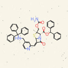 C[C@@]1(COC(N)=O)SC2/C(=C\c3cc(CNC(c4ccccc4)(c4ccccc4)c4ccccc4)ccn3)C(=O)N2[C@H]1C(=O)OC(c1ccccc1)c1ccccc1